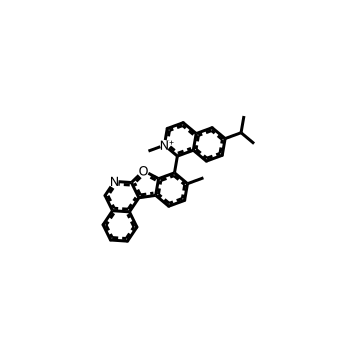 Cc1ccc2c(oc3ncc4ccccc4c32)c1-c1c2ccc(C(C)C)cc2cc[n+]1C